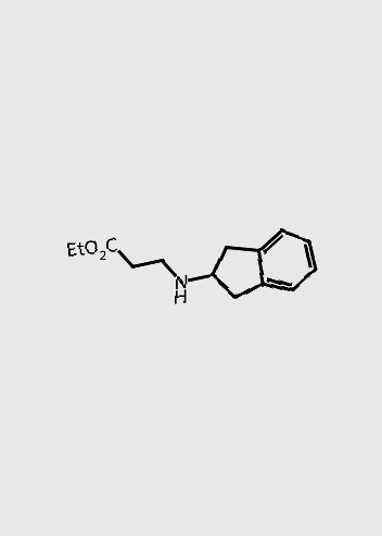 CCOC(=O)CCNC1Cc2ccccc2C1